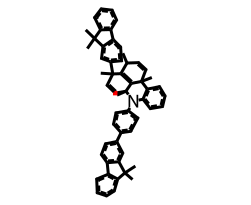 CC1C=CC2(C)C3=C1C(C)(c1ccc4c(c1)C(C)(C)c1ccccc1-4)C=CC3(C)N(c1ccc(-c3ccc4c(c3)C(C)(C)c3ccccc3-4)cc1)c1ccccc12